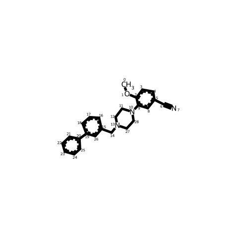 COc1ccc(C#N)cc1N1CCN(Cc2cccc(-c3ccccc3)c2)CC1